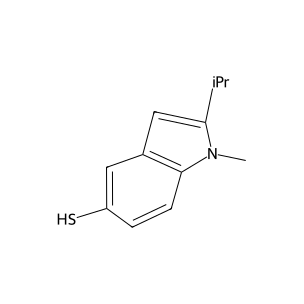 CC(C)c1cc2cc(S)ccc2n1C